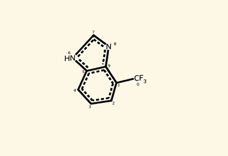 FC(F)(F)c1cccc2[nH][c]nc12